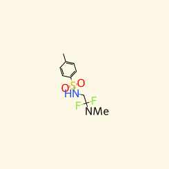 CNC(F)(F)CNS(=O)(=O)c1ccc(C)cc1